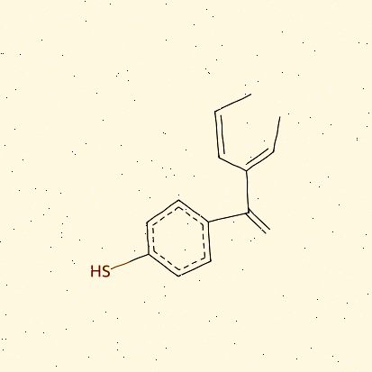 C=C(C(/C=C\C)=C/C)c1ccc(S)cc1